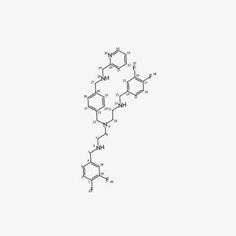 Fc1ccc(CNCCN(CCNCc2ccc(F)c(F)c2)Cc2ccc(CNCc3ccccn3)cc2)cc1F